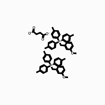 COc1cccc(C[P+](c2ccc(C)cc2)(c2ccc(C)cc2)c2ccc(C)cc2)c1.COc1cccc(C[P+](c2ccc(C)cc2)(c2ccc(C)cc2)c2ccc(C)cc2)c1.O=C([O-])CCC(=O)[O-]